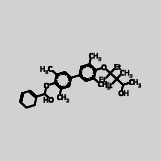 CCC(CC)(Oc1c(C)cc(-c2cc(C)c(OC(O)C3=CC=CCC3)c(C)c2)cc1C)C(C)(CC)C(C)O